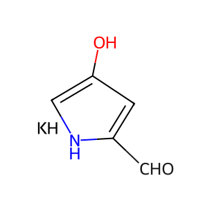 O=Cc1cc(O)c[nH]1.[KH]